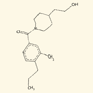 CCCc1ccc(C(=O)N2CCC(CCO)CC2)cc1C